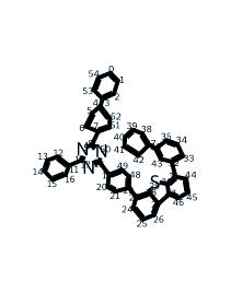 c1ccc(-c2ccc(-c3nc(-c4ccccc4)nc(-c4ccc(-c5cccc6c5sc5c(-c7cccc(-c8ccccc8)c7)cccc56)cc4)n3)cc2)cc1